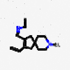 C=C/N=C\C1=C(C=C)CC2(CCN(CC)CC2)C1